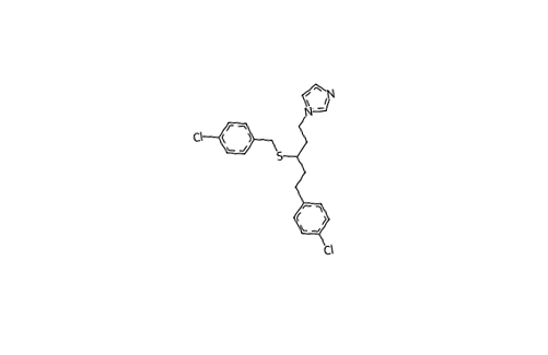 Clc1ccc(CCC(CCn2ccnc2)SCc2ccc(Cl)cc2)cc1